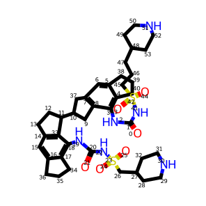 O=C(Nc1c2c(cc3c1CC(C1CCc4cc5c(c(NC(=O)NS(=O)(=O)CC6CCNCC6)c41)CCC5)C3)CCC2)NS(=O)(=O)CCCC1CCNCC1